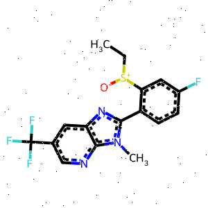 CC[S+]([O-])c1cc(F)ccc1-c1nc2cc(C(F)(F)F)cnc2n1C